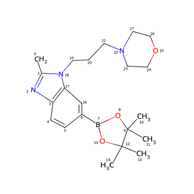 Cc1nc2ccc(B3OC(C)(C)C(C)(C)O3)cc2n1CCCN1CCOCC1